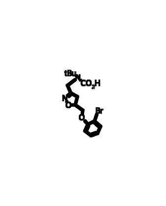 CC(C)(C)N(CC1=NOC(COc2ccccc2Br)C1)C(=O)O